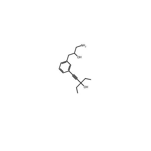 CCC(O)(C#Cc1cccc(CC(O)CN)c1)CC